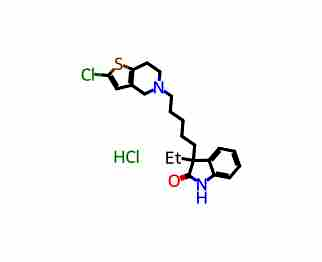 CCC1(CCCCCN2CCc3sc(Cl)cc3C2)C(=O)Nc2ccccc21.Cl